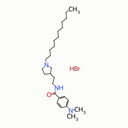 Br.CCCCCCCCCCCCN1CCC(CCNC(=O)c2ccc(N(C)C)cc2)C1